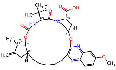 C=C1C[C@H]2CCCCCc3nc4ccc(OC)cc4nc3O[C@@H]3C[C@@H](C(=O)O)N(C3)C(=O)[C@H](C(C)(C)C)NC(=O)O[C@@H]2[C@@H]1C